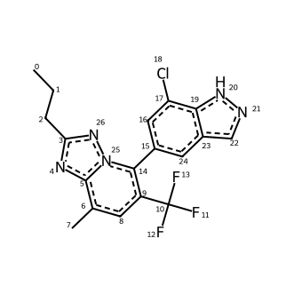 CCCc1nc2c(C)cc(C(F)(F)F)c(-c3cc(Cl)c4[nH]ncc4c3)n2n1